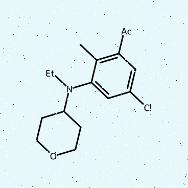 CCN(c1cc(Cl)cc(C(C)=O)c1C)C1CCOCC1